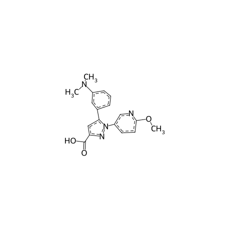 COc1ccc(-n2nc(C(=O)O)cc2-c2cccc(N(C)C)c2)cn1